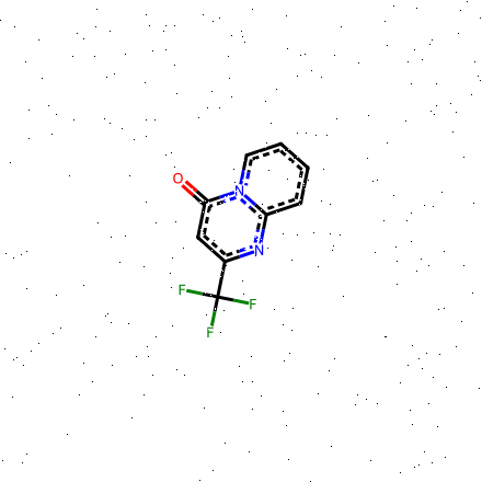 O=c1cc(C(F)(F)F)nc2ccccn12